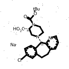 CC(C)(C)OC(=O)N1CCN([C@H]2c3ccc(Cl)cc3CCc3cccnc32)C[C@@H]1C(=O)O.[Na]